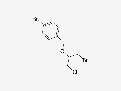 ClCC(CBr)OCc1ccc(Br)cc1